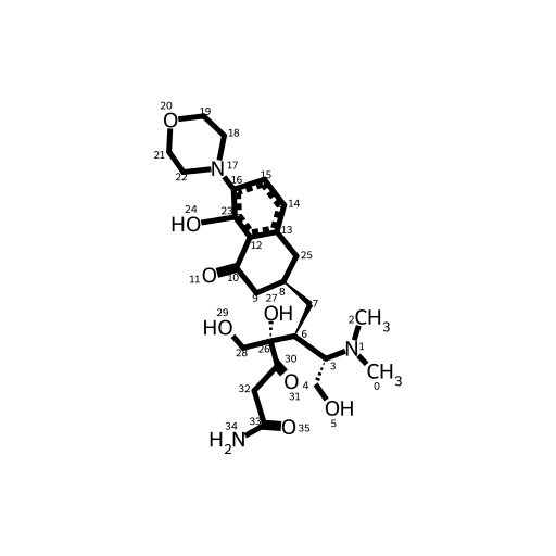 CN(C)[C@H](CO)[C@H](C[C@H]1CC(=O)c2c(ccc(N3CCOCC3)c2O)C1)[C@](O)(CO)C(=O)CC(N)=O